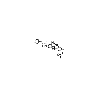 COC(=O)Oc1cc(Nc2ncnc3cc(NC(=O)CCN4CCOCC4)ccc23)c(F)cc1C